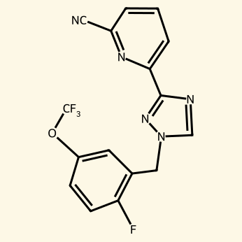 N#Cc1cccc(-c2ncn(Cc3cc(OC(F)(F)F)ccc3F)n2)n1